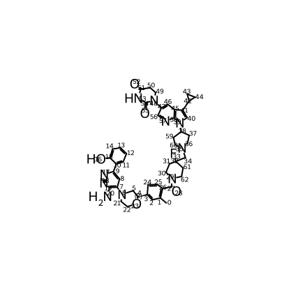 Cc1cc([C@@H]2CN(c3cc(-c4ccccc4O)nnc3N)CCO2)ccc1C(=O)N1CCC(F)(CN2CCC(n3cc(C4CC4)c4cc(N5CCC(=O)NC5=O)cnc43)CC2)CC1